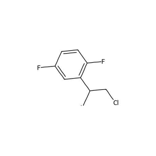 [CH2]C(CCl)c1cc(F)ccc1F